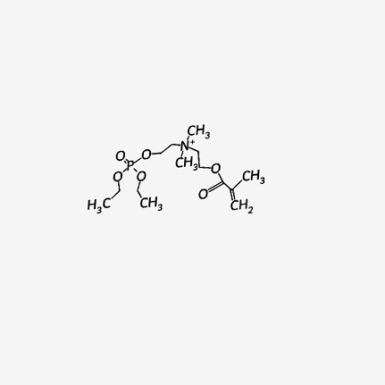 C=C(C)C(=O)OCC[N+](C)(C)CCOP(=O)(OCC)OCC